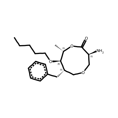 CCCCCO[C@@H]1[C@@H](Cc2ccccc2)COC[C@H](N)C(=O)O[C@H]1C